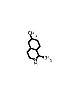 CC1CCC2C(CCNC2C)C1